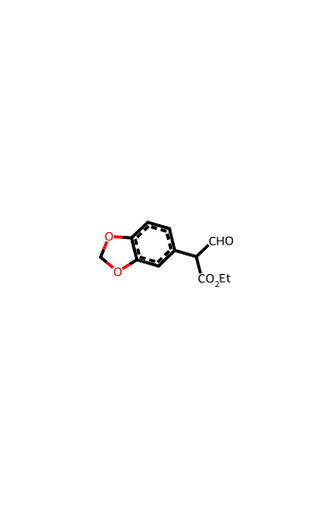 CCOC(=O)C(C=O)c1ccc2c(c1)OCO2